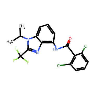 CC(C)n1c(C(F)(F)F)nc2c(NC(=O)c3c(Cl)cccc3Cl)cccc21